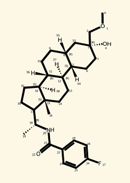 COC[C@@]1(O)CC[C@H]2[C@H](CC[C@@H]3[C@@H]2CC[C@]2(C)C([C@@H](C)NC(=O)c4ccc(F)cc4)CC[C@@H]32)C1